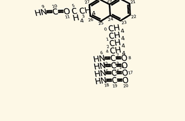 C.C.C.C.C.C.N=C=O.N=C=O.N=C=O.N=C=O.N=C=O.c1ccc2ccccc2c1